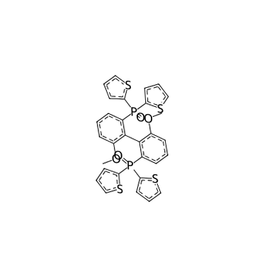 COc1cccc(P(=O)(c2cccs2)c2cccs2)c1-c1c(OC)cccc1P(=O)(c1cccs1)c1cccs1